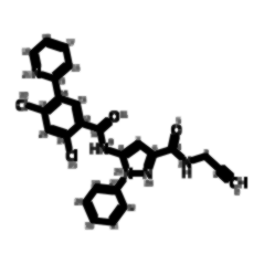 C#CCNC(=O)c1cc(NC(=O)c2cc(-c3ccccn3)c(Cl)cc2Cl)n(-c2ccccc2)n1